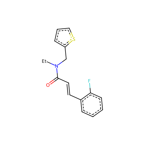 CCN(Cc1cccs1)C(=O)/C=C/c1ccccc1F